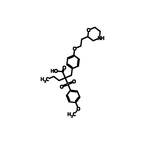 CCCC(Cc1ccc(OCCC2CNCCO2)cc1)(C(=O)O)S(=O)(=O)c1ccc(OC)cc1